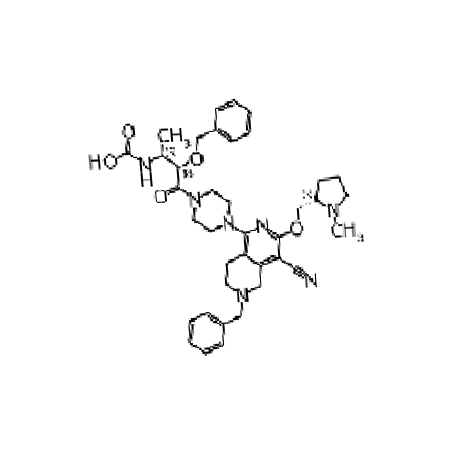 C[C@H](NC(=O)O)[C@@H](OCc1ccccc1)C(=O)N1CCN(c2nc(OC[C@@H]3CCCN3C)c(C#N)c3c2CCN(Cc2ccccc2)C3)CC1